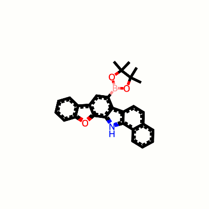 CC1(C)OB(c2cc3c4ccccc4oc3c3[nH]c4c5ccccc5ccc4c23)OC1(C)C